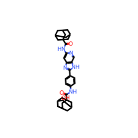 O=C(Nc1ccc(-c2nc3cc(NC(=O)C45CC6CC(CC(C6)C4)C5)ncc3[nH]2)cc1)C12CC3CC(C1)C(O)C(C3)C2